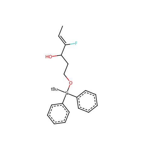 C/C=C(\F)C(O)CCO[Si](c1ccccc1)(c1ccccc1)C(C)(C)C